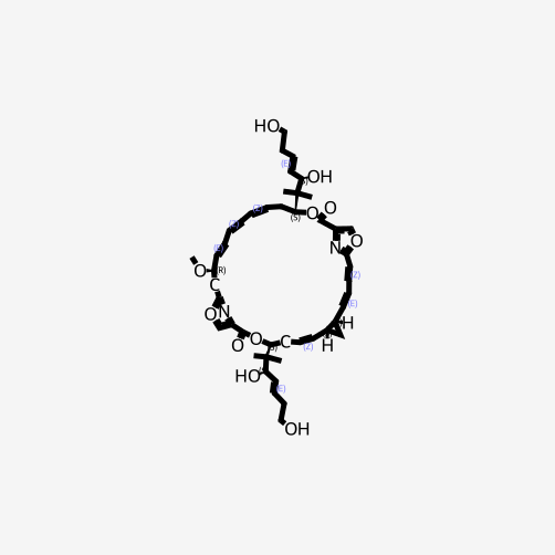 CO[C@H]1/C=C/C=C\C=C/C[C@@H](C(C)(C)[C@@H](O)/C=C/CCO)OC(=O)c2coc(n2)/C=C\C=C\[C@@H]2C[C@@H]2/C=C\C[C@@H](C(C)(C)[C@@H](O)/C=C/CCO)OC(=O)c2coc(n2)C1